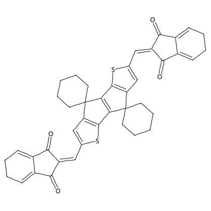 O=C1C(=Cc2cc3c(s2)C2=C(c4sc(C=C5C(=O)C6=CCCC=C6C5=O)cc4C24CCCCC4)C32CCCCC2)C(=O)C2=CCCC=C12